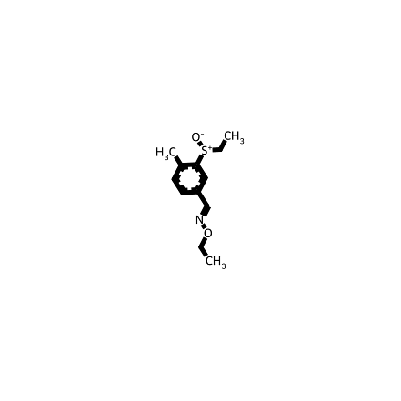 CCO/N=C/c1ccc(C)c([S+]([O-])CC)c1